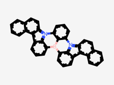 c1cc2c3c(c1)-n1c4ccc5ccccc5c4c4cccc(c41)B3c1cccc3c4c5ccccc5ccc4n-2c13